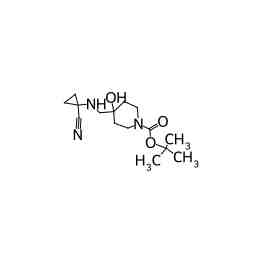 CC(C)(C)OC(=O)N1CCC(O)(CNC2(C#N)CC2)CC1